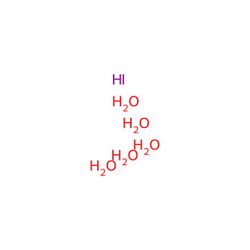 I.O.O.O.O.O